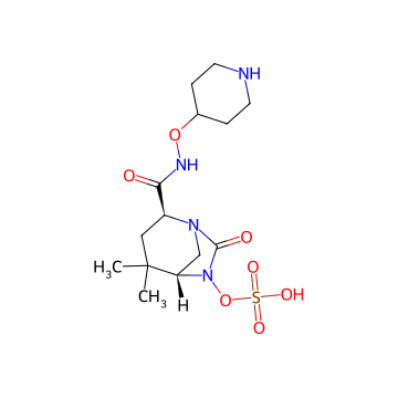 CC1(C)C[C@@H](C(=O)NOC2CCNCC2)N2C[C@@H]1N(OS(=O)(=O)O)C2=O